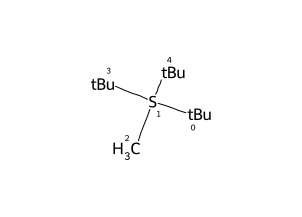 CC(C)(C)S(C)(C(C)(C)C)C(C)(C)C